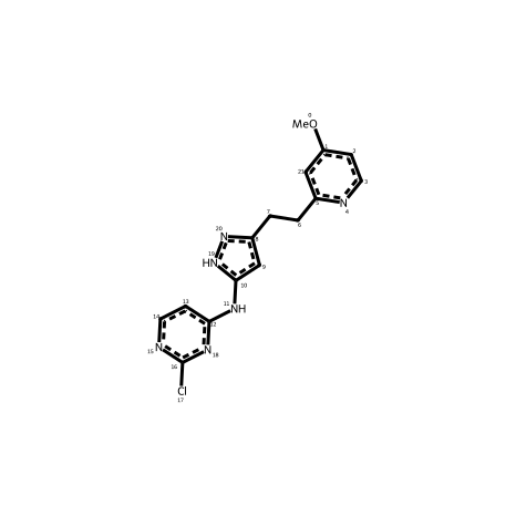 COc1ccnc(CCc2cc(Nc3ccnc(Cl)n3)[nH]n2)c1